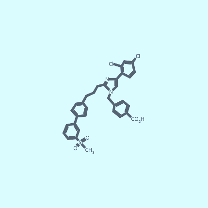 CS(=O)(=O)c1cccc(-c2ccc(CCCc3nc(-c4ccc(Cl)cc4Cl)cn3Cc3ccc(C(=O)O)cc3)cc2)c1